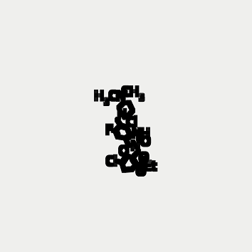 CCS(=O)(=O)c1ccc(Cl)cc1Cn1c(=O)[nH]c2c(Cl)c(CN3CCC[C@H](N(C)C)C3)c(F)cc2c1=O